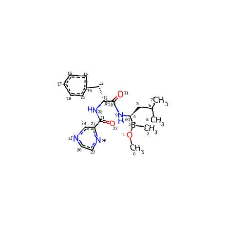 COB(C)[C@H](CC(C)C)NC(=O)[C@@H](Cc1ccccc1)NC(=O)c1cnccn1